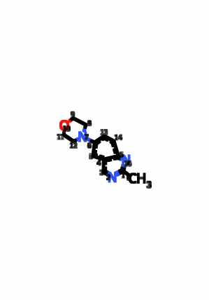 Cc1ncc2cc(N3CCOCC3)ccc2n1